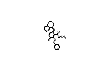 COC(=O)c1c(OCc2ccccc2)c(=O)ccn1/N=C1/CCCOc2ccccc21